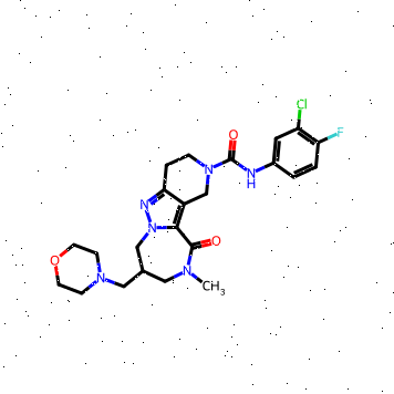 CN1CC(CN2CCOCC2)Cn2nc3c(c2C1=O)CN(C(=O)Nc1ccc(F)c(Cl)c1)CC3